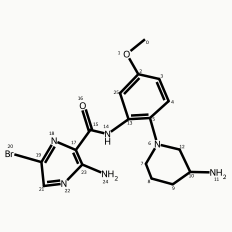 COc1ccc(N2CCCC(N)C2)c(NC(=O)c2nc(Br)cnc2N)c1